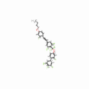 CCCCOc1ccc(C#Cc2cc(F)c(C(F)(F)Oc3ccc(-c4cc(F)c(F)c(F)c4)c(F)c3)c(F)c2)c(F)c1